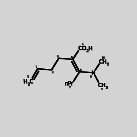 C=CCCC(C(=O)O)=C(CCC)N(C)C